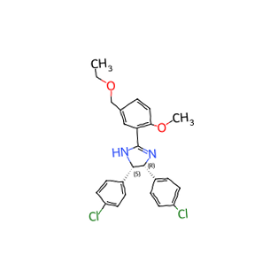 CCOCc1ccc(OC)c(C2=N[C@H](c3ccc(Cl)cc3)[C@H](c3ccc(Cl)cc3)N2)c1